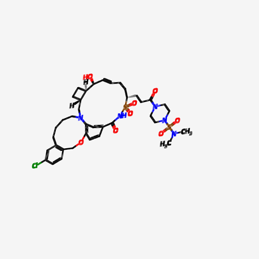 CN(C)S(=O)(=O)N1CCN(C(=O)CC[C@H]2CC/C=C/[C@H](O)[C@@H]3CC[C@H]3CN3CCCCc4cc(Cl)ccc4COc4ccc(cc43)C(=O)NS2(=O)=O)CC1